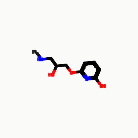 CC(C)NCC(O)COc1cccc(O)n1